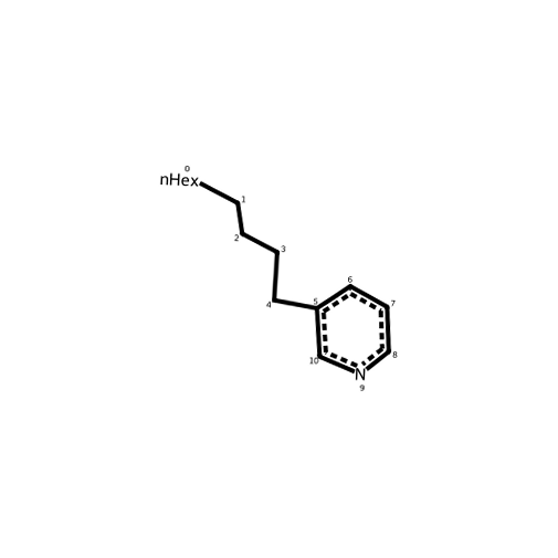 CCCCCCCCCCc1[c]ccnc1